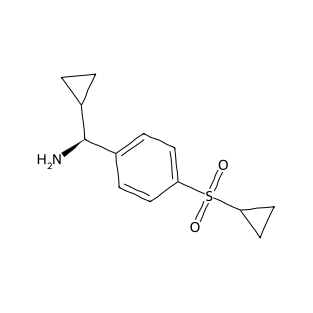 N[C@H](c1ccc(S(=O)(=O)C2CC2)cc1)C1CC1